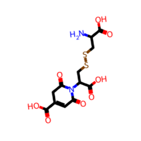 NC(CSSCC(C(=O)O)N1C(=O)C=C(C(=O)O)CC1=O)C(=O)O